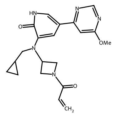 C=CC(=O)N1CC(N(CC2CC2)c2cc(-c3cc(OC)ncn3)c[nH]c2=O)C1